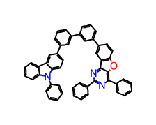 c1ccc(-c2nc(-c3ccccc3)c3oc4ccc(-c5cccc(-c6cccc(-c7ccc8c(c7)c7ccccc7n8-c7ccccc7)c6)c5)cc4c3n2)cc1